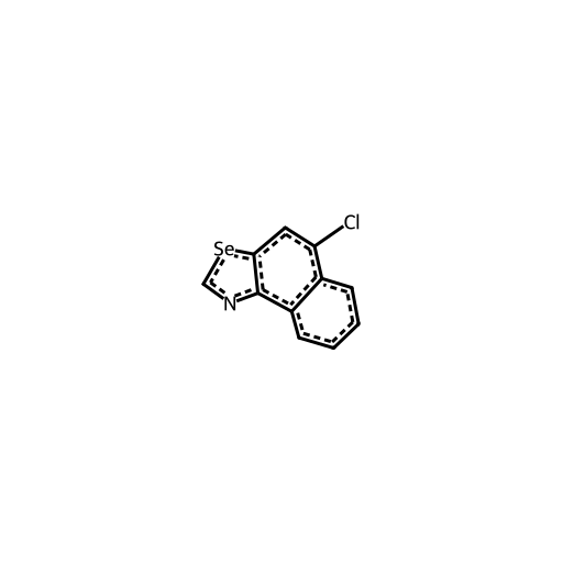 Clc1cc2[se]cnc2c2ccccc12